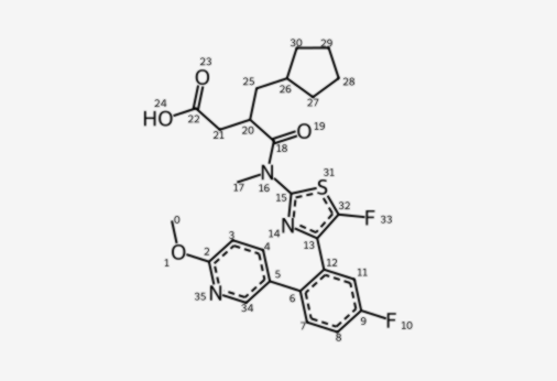 COc1ccc(-c2ccc(F)cc2-c2nc(N(C)C(=O)C(CC(=O)O)CC3CCCC3)sc2F)cn1